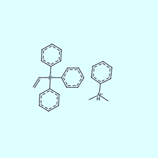 C=C[B-](c1ccccc1)(c1ccccc1)c1ccccc1.C[NH+](C)c1ccccc1